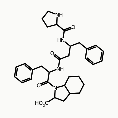 O=C(CC(Cc1ccccc1)NC(=O)C1CCCN1)NC(Cc1ccccc1)C(=O)N1C(C(=O)O)CC2CCCCC21